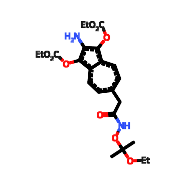 CCOC(=O)Oc1c2ccc(CC(=O)NOC(C)(C)OCC)ccc-2c(OC(=O)OCC)c1N